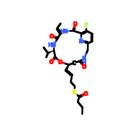 C/C=C1\NC(=O)c2nc(ccc2F)CNC(=O)C[C@@H](/C=C/CCSC(=O)CCC)OC(=O)[C@H](C(C)C)NC1=O